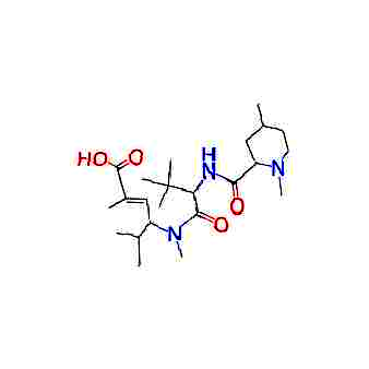 C/C(=C\C(C(C)C)N(C)C(=O)C(NC(=O)C1CC(C)CCN1C)C(C)(C)C)C(=O)O